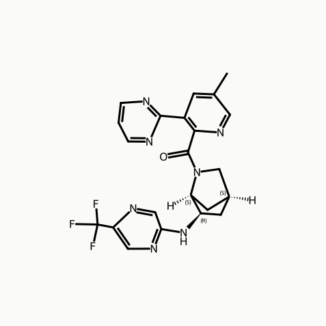 Cc1cnc(C(=O)N2C[C@H]3C[C@@H](Nc4cnc(C(F)(F)F)cn4)[C@@H]2C3)c(-c2ncccn2)c1